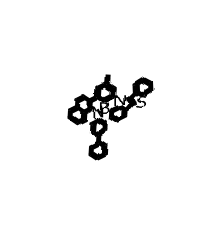 Cc1cc2c3c(c1)-n1c4c(cccc4c4sc5ccccc5c41)B3N(c1ccc(-c3ccccc3)cc1)c1c-2ccc2ccccc12